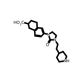 O=C(O)C1CCc2cc(N3CCN(CCC4CCNCC4)C3=O)ccc2C1